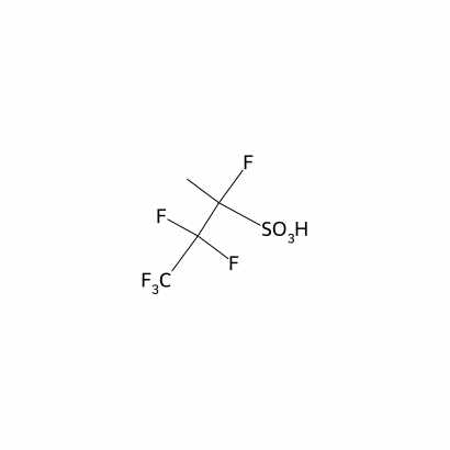 CC(F)(C(F)(F)C(F)(F)F)S(=O)(=O)O